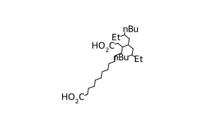 CCCCC(CC)CC(CC(CC)CCCC)C(CCCCCCCCCCCC(=O)O)CC(=O)O